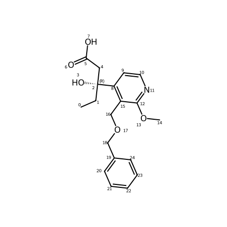 CC[C@@](O)(CC(=O)O)c1ccnc(OC)c1COCc1ccccc1